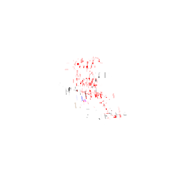 CC(=O)NCC1(O)CC([C@@H](NC(C)=O)[C@H](C)O)O[C@](OCC2O[C@@H](OCC3O[C@@H](OC4C(NC(C)=O)[C@H](OC5C(O)[C@H](OC6C(NC(C)=O)[C@H](NC(=O)CCS)OC(CO)[C@@H]6O)OC(CO[C@@H]6OC(CO[C@@]7(C(=O)O)CC(O)[C@H](NC(C)=O)C([C@@H](NC(C)=O)[C@H](C)O)O7)[C@@H](O)C(O)C6O)[C@@H]5O)OC(CO)[C@@H]4O)C(O)C(O)[C@H]3O)C(O)C(O)[C@@H]2O)(C(=O)O)C1